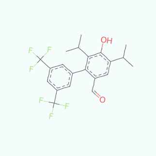 CC(C)c1cc(C=O)c(-c2cc(C(F)(F)F)cc(C(F)(F)F)c2)c(C(C)C)c1O